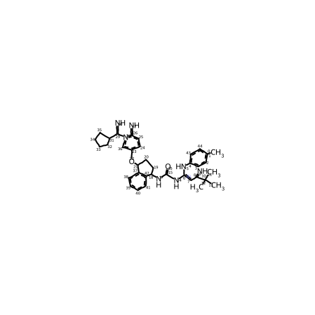 Cc1ccc(N/C(=C\C(=N)C(C)(C)C)NC(=O)NC2CCC(Oc3ccc(=N)n(C(=N)C4CCCC4)c3)c3ccccc32)cc1